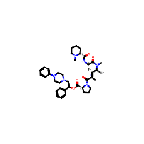 C/C(=C\C(C(C)C)N(C)C(=O)[C@@H](NC(=O)[C@H]1CCCCN1C)C(C)C)C(=O)N1CCC[C@H]1C(=O)OC(CN1CCN(c2ccccc2)CC1)c1ccccc1